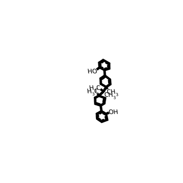 CC1(C(C)(C)C2(C)C=CC(c3ccccc3O)=CC2)C=CC(c2ccccc2O)=CC1